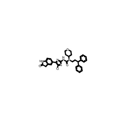 O=C1Cc2cc(-c3nc(NC(=O)N(CCC(c4ccccc4)c4ccccc4)C4CCOCC4)sc3Cl)ccc2N1